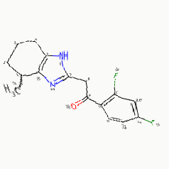 CC1CCCc2[nH]c(CC(=O)c3ccc(F)cc3F)nc21